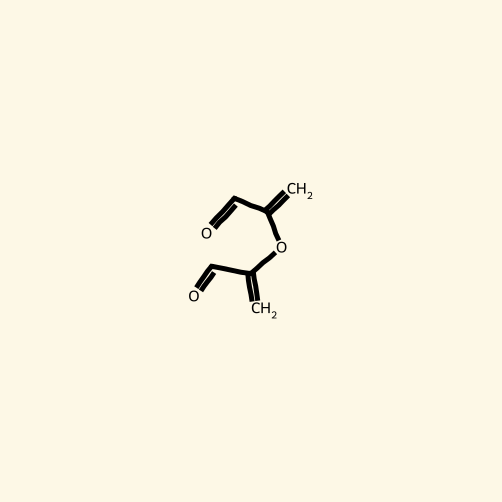 C=C(C=O)OC(=C)C=O